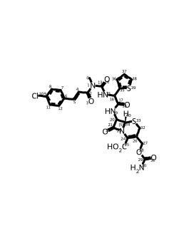 CN(C(=O)C=Cc1ccc(Cl)cc1)C(=O)NC(C(=O)NC1C(=O)N2C(C(=O)O)=C(COC(N)=O)CS[C@@H]12)c1cccs1